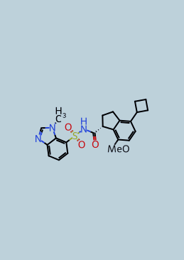 COc1ccc(C2CCC2)c2c1[C@H](C(=O)NS(=O)(=O)c1cccc3ncn(C)c13)CC2